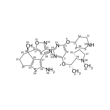 C[C@H](Oc1cc(OC2CCNCC2)nc(-c2cc([C@@]3(C)CCCc4sc(N)c(C#N)c43)on2)n1)[C@@H]1CCCN1C